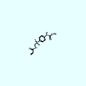 C=CC(=O)NCS(=O)(=O)c1ccc(NC(=O)OCC(C)C)cc1